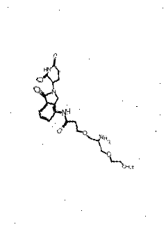 CCOCCOCC(N)COCCC(=O)Nc1cccc2c1CN(C1CCC(=O)NC1=O)C2=O